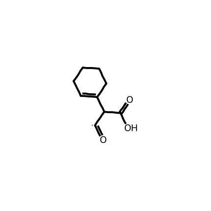 O=[C]C(C(=O)O)C1=CCCCC1